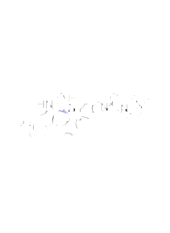 COC(=O)C1C=C2NC(=O)/C(=C(\Nc3ccc4c(c3)CN(C(=O)CN3CCN(C)CC3)C4)c3ccccc3)C2=CC1C